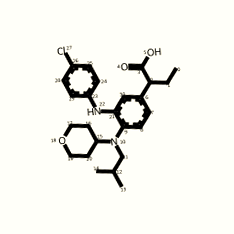 CCC(C(=O)O)c1ccc(N(CC(C)C)C2CCOCC2)c(Nc2ccc(Cl)cc2)c1